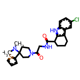 CN(C)C1(c2cccs2)CCN(C(=O)CNC(=O)C2CCCc3c2[nH]c2ccc(Cl)cc32)CC1